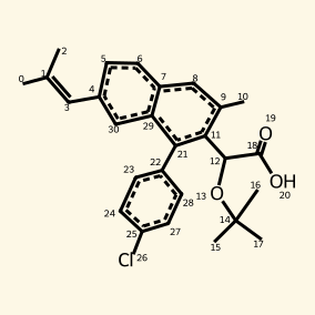 CC(C)=Cc1ccc2cc(C)c(C(OC(C)(C)C)C(=O)O)c(-c3ccc(Cl)cc3)c2c1